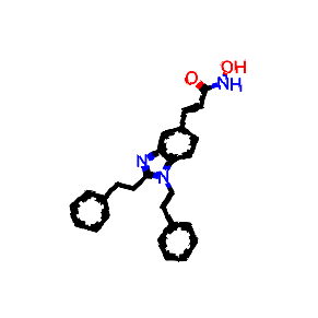 O=C(C=Cc1ccc2c(c1)nc(CCc1ccccc1)n2CCc1ccccc1)NO